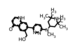 CN(c1ccc(-c2cc3[nH]ccc(=O)c3cc2CO)nn1)C1CC(C)(C)NC(C)(C)C1